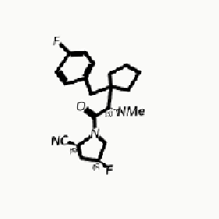 CN[C@H](C(=O)N1C[C@@H](F)C[C@H]1C#N)C1(Cc2ccc(F)cc2)CCCC1